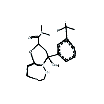 CN(C)C(=O)C1CC(O)(c2cccc(C(F)(F)F)c2)N2NCCCCC2O1